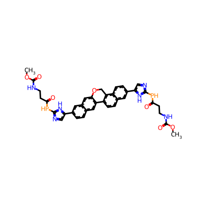 COC(=O)NCCC(=O)Pc1ncc(-c2ccc3cc4c(cc3c2)OCc2c-4ccc3cc(-c4cnc(PC(=O)CCNC(=O)OC)[nH]4)ccc23)[nH]1